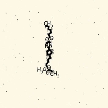 CCCC/C=C\CC(=O)Oc1cnc(-c2ccc(CCCCC(C)OC(=O)CC)cc2)nc1